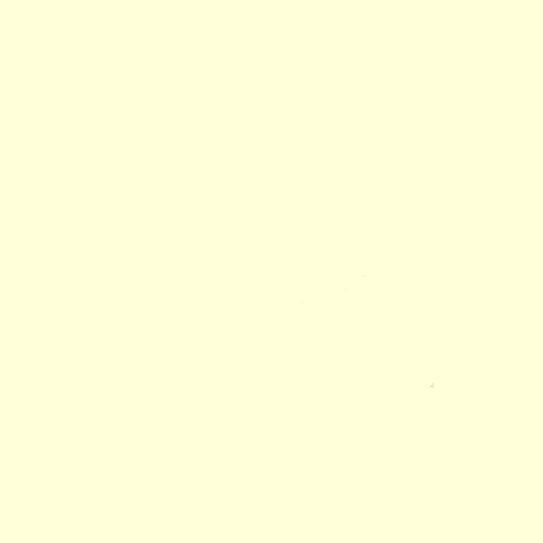 CCCCCCCCOC(=O)c1ccccc1C(=O)OCCCCCCCC.[CH3][Sn][CH3]